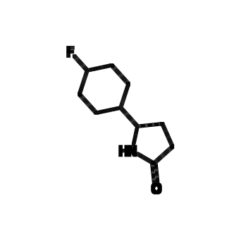 O=C1CCC(C2CCC(F)CC2)N1